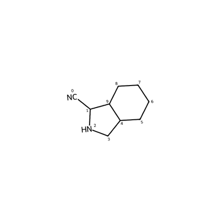 N#CC1NCC2CCCCC21